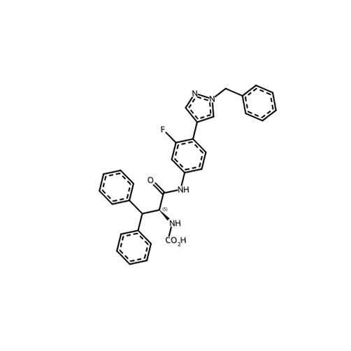 O=C(O)N[C@H](C(=O)Nc1ccc(-c2cnn(Cc3ccccc3)c2)c(F)c1)C(c1ccccc1)c1ccccc1